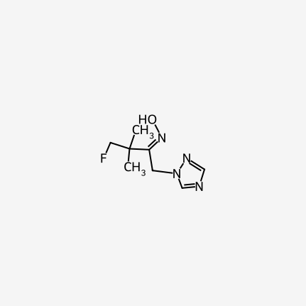 CC(C)(CF)C(Cn1cncn1)=NO